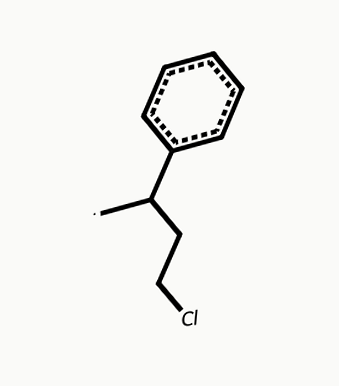 [CH2]C(CCCl)c1ccccc1